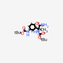 CC(C)(C)OC(=O)Nc1cccc([C@@](C)(NC(=O)OC(C)(C)C)C(N)=O)c1